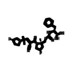 CC(C)(/C=C(\C#N)C(=O)N1C[C@@H](F)C[C@]1(C)COC(=O)N[C@@H](Cc1ccccc1)B(O)O)N1CC[C@H](F)C1